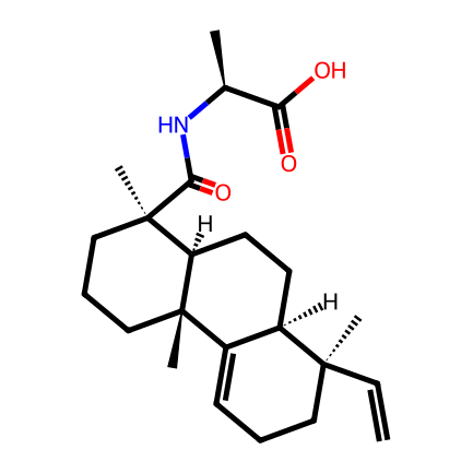 C=C[C@@]1(C)CCC=C2[C@H]1CC[C@@H]1[C@](C)(C(=O)N[C@@H](C)C(=O)O)CCC[C@@]21C